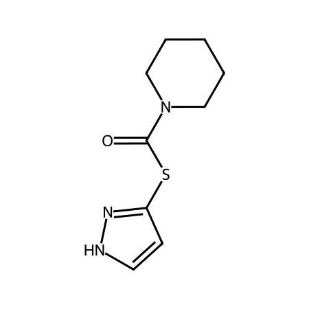 O=C(Sc1cc[nH]n1)N1CCCCC1